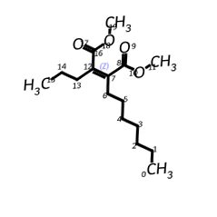 CCCCCCC/C(C(=O)OC)=C(\CCC)C(=O)OC